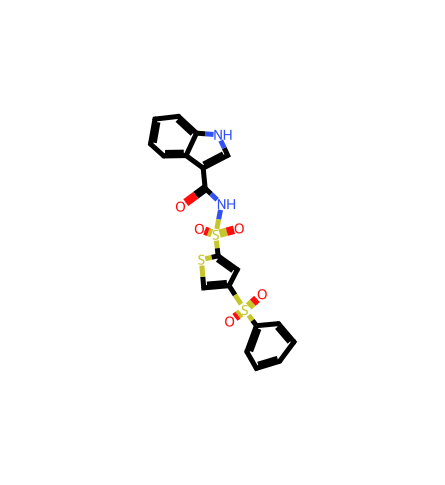 O=C(NS(=O)(=O)c1cc(S(=O)(=O)c2ccccc2)cs1)c1c[nH]c2ccccc12